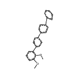 COc1cccc(-c2ccc(-c3ccc(-c4ccccc4)cc3)cc2)c1OC